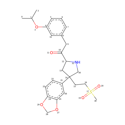 CC(C)Oc1cccc(CC(=O)C2CC(CCS(C)(=O)=O)(c3ccc4c(c3)OCO4)CN2)c1